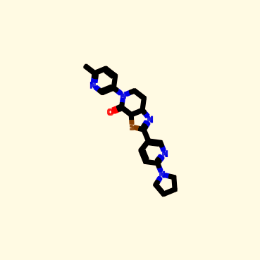 Cc1ccc(N2CCC3N=C(c4ccc(N5CCCC5)nc4)SC3C2=O)cn1